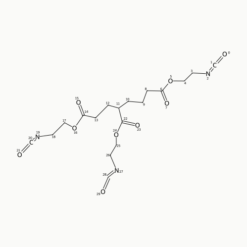 O=C=NCCOC(=O)CCCC(CCC(=O)OCCN=C=O)C(=O)OCCN=C=O